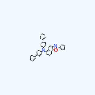 c1ccc(-c2ccc(N(c3ccc(-c4ccccc4)cc3)c3cccc4c3ccc3nc(-c5ccccc5)oc34)cc2)cc1